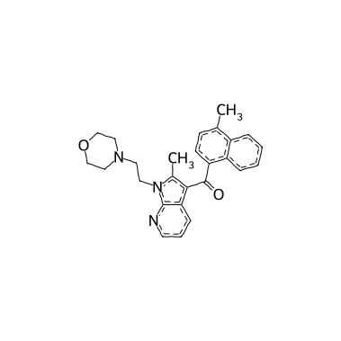 Cc1ccc(C(=O)c2c(C)n(CCN3CCOCC3)c3ncccc23)c2ccccc12